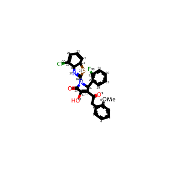 COc1ccccc1CC(=O)C1=C(O)C(=O)N(C2=NC3C(Cl)=CC=CC3S2)C1c1ccccc1F